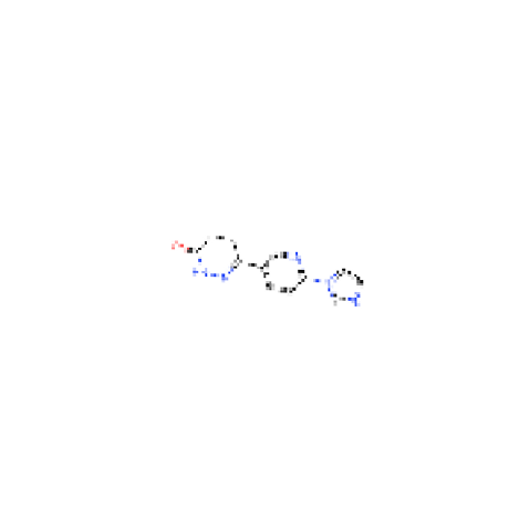 O=C1CCC(c2ccc(-n3ccnc3)nc2)=NN1